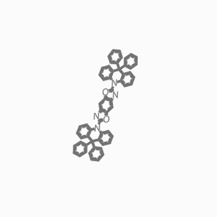 c1ccc(C2(c3ccccc3)c3ccccc3N(c3nc4cc5oc(N6c7ccccc7C(c7ccccc7)(c7ccccc7)c7ccccc76)nc5cc4o3)c3ccccc32)cc1